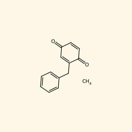 C.O=C1C=CC(=O)C(Cc2ccccc2)=C1